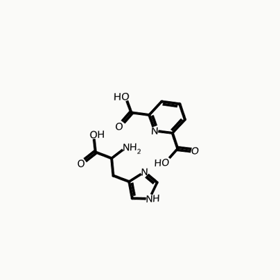 NC(Cc1c[nH]cn1)C(=O)O.O=C(O)c1cccc(C(=O)O)n1